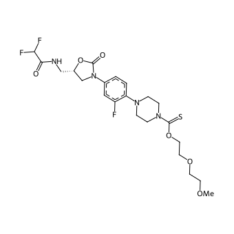 COCCOCCOC(=S)N1CCN(c2ccc(N3C[C@H](CNC(=O)C(F)F)OC3=O)cc2F)CC1